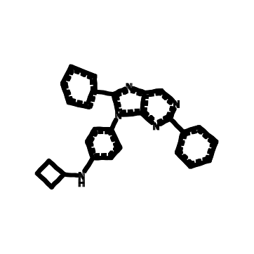 c1ccc(-c2ncc3nc(-c4ccccc4)n(-c4ccc(NC5CCC5)cc4)c3n2)cc1